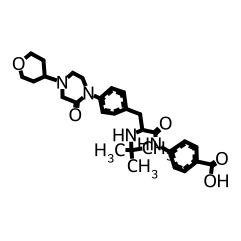 CC(C)(C)NC(Cc1ccc(N2CCN(C3CCOCC3)CC2=O)cc1)C(=O)Nc1ccc(C(=O)O)cc1